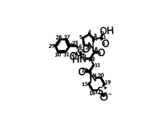 O=C(O)[C@@H]1CCCN1C(=O)[C@@H](CC(=O)N1CC[S+]([O-])CC1)NS(=O)(=O)Cc1ccccc1